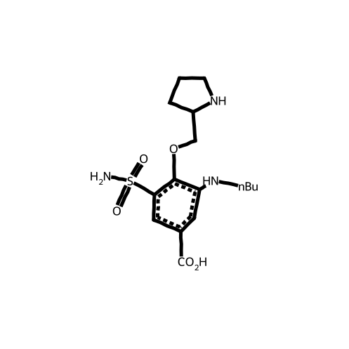 CCCCNc1cc(C(=O)O)cc(S(N)(=O)=O)c1OCC1CCCN1